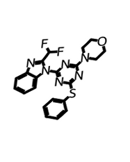 FC(F)c1nc2ccccc2n1-c1nc(Sc2ccccc2)nc(N2CCOCC2)n1